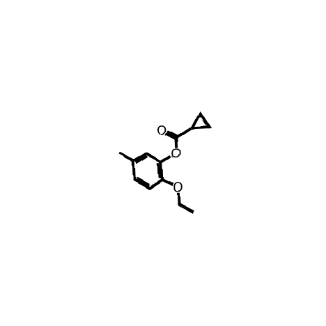 CCOc1ccc(C)cc1OC(=O)C1CC1